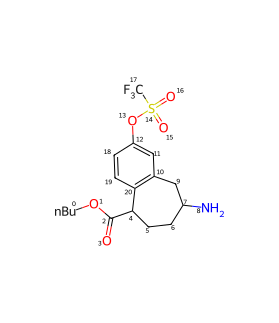 CCCCOC(=O)C1CCC(N)Cc2cc(OS(=O)(=O)C(F)(F)F)ccc21